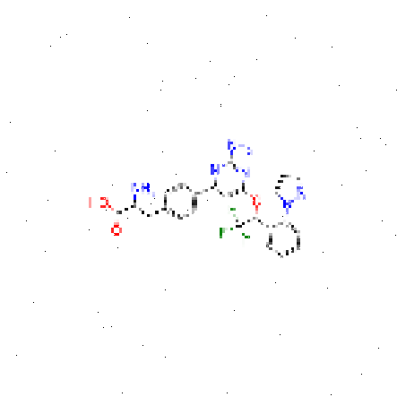 Nc1nc(OC(c2ccccc2-n2cccn2)C(F)(F)F)cc(-c2ccc(C[C@H](N)C(=O)O)cc2)n1